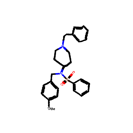 COc1ccc(CN(C2CCN(Cc3ccccc3)CC2)S(=O)(=O)c2ccccc2)cc1